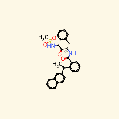 C=C(c1ccc2ccccc2c1)c1ccccc1C(=O)N[C@@H](Cc1ccccc1)C(=O)CNS(C)(=O)=O